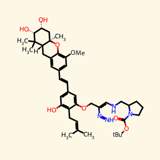 COc1cc(/C=C/c2cc(O)c(CC=C(C)C)c(OC/C(=C/NCC3CCCN3C(=O)OC(C)(C)C)N=N)c2)cc2c1O[C@]1(C)C[C@@H](O)[C@@H](O)C(C)(C)[C@H]1C2